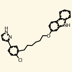 Clc1ccc(-c2cc[nH]n2)cc1CCCCCCOc1ccc2c(c1)[nH]c1ccccc12